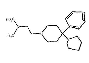 CN(CCN1CCC(c2ccccc2)(N2CCCC2)CC1)C(=O)O